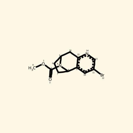 COC(=O)N1C2CCC1c1cc(Br)cnc1C2